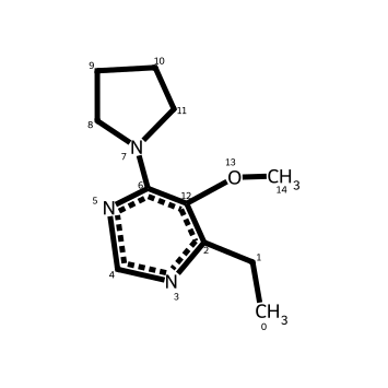 CCc1ncnc(N2CCCC2)c1OC